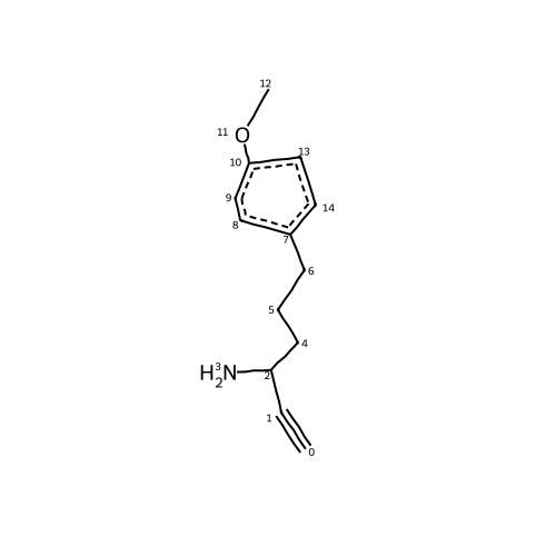 C#CC(N)CCCc1ccc(OC)cc1